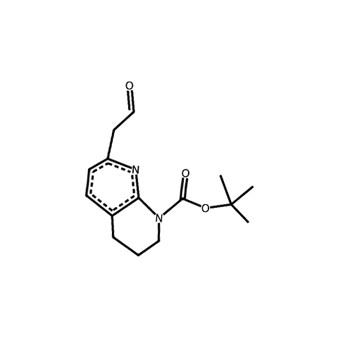 CC(C)(C)OC(=O)N1CCCc2ccc(CC=O)nc21